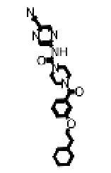 N#Cc1cnc(NC(=O)N2CCN(C(=O)c3cccc(OCCC4CCCCC4)c3)CC2)cn1